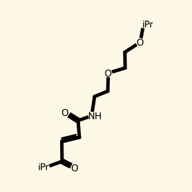 CC(C)OCCOCCNC(=O)/C=C/C(=O)C(C)C